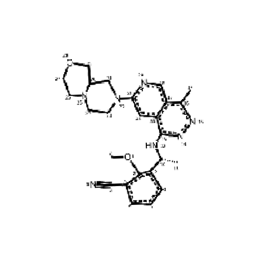 COc1c(C#N)cccc1[C@@H](C)Nc1nnc(C)c2cnc(N3CCN4CCOCC4C3)cc12